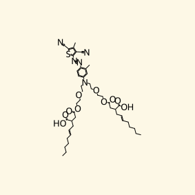 CCCCC/C=C/CC(CC(=O)OCCOCCN(CCOCCOC(=O)CC(C/C=C/CCCCC)C(=O)O)c1ccc(/N=N/c2sc(C#N)c(C)c2C#N)c(C)c1)C(=O)O